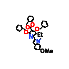 CCc1c(-c2cc3ccc(OC)cc3n2C)nc(OCc2ccccc2)c(C(=O)OCc2ccccc2)c1OCc1ccccc1